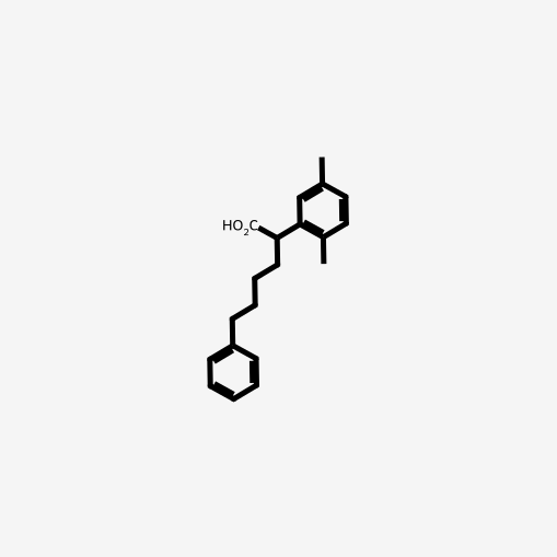 Cc1ccc(C)c(C(CCCCc2ccccc2)C(=O)O)c1